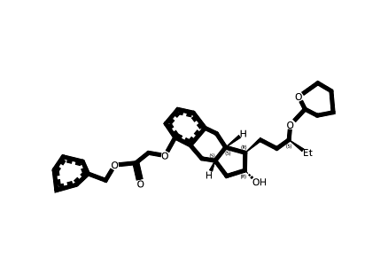 CC[C@@H](CC[C@@H]1[C@H]2Cc3cccc(OCC(=O)OCc4ccccc4)c3C[C@H]2C[C@H]1O)OC1CCCCO1